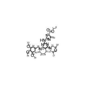 CCOC(=O)c1sc(Nc2nc3c(c(N4CC(C)OC(C)C4)n2)CCCCN3Cc2cc(OC)c(OC)c(OC)c2)nc1C